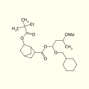 CCC(C)(C)C(=O)OC1CC2CC(C(=O)OC(CC(C)OC)OCC3CCCCC3)C1C2